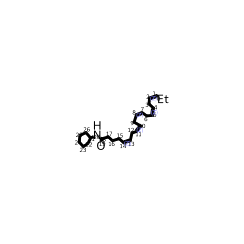 CC/C=C\C/C=C\C/C=C\C/C=C\C/C=C\CCCC(=O)NC1CCCCC1